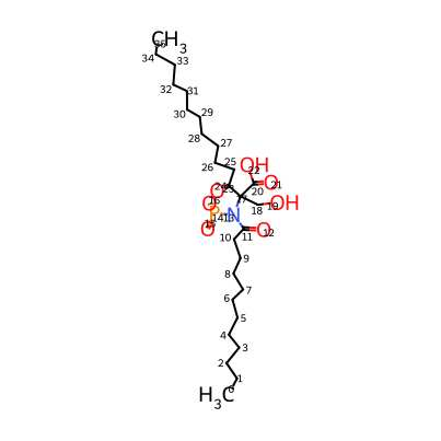 CCCCCCCCCCCC(=O)N(P(=O)=O)C(CO)(C(=O)O)C(=O)CCCCCCCCCCC